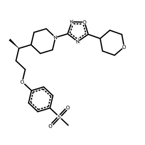 C[C@H](CCOc1ccc(S(C)(=O)=O)cc1)C1CCN(c2noc(C3CCOCC3)n2)CC1